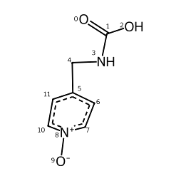 O=C(O)NCc1cc[n+]([O-])cc1